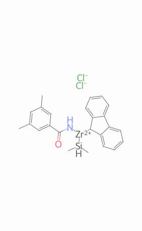 Cc1cc(C)cc(C(=O)[NH][Zr+2]([CH]2c3ccccc3-c3ccccc32)[SiH](C)C)c1.[Cl-].[Cl-]